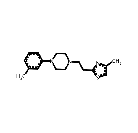 Cc1cccc(N2CCN(CCc3nc(C)cs3)CC2)c1